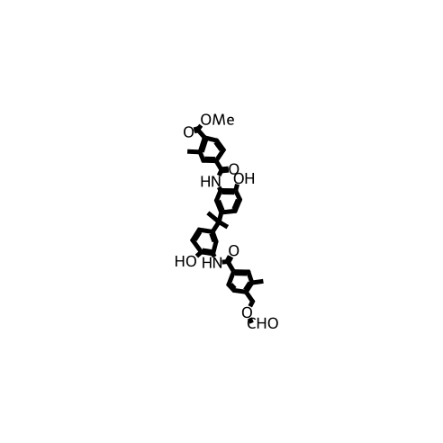 COC(=O)c1ccc(C(=O)Nc2cc(C(C)(C)c3ccc(O)c(NC(=O)c4ccc(COC=O)c(C)c4)c3)ccc2O)cc1C